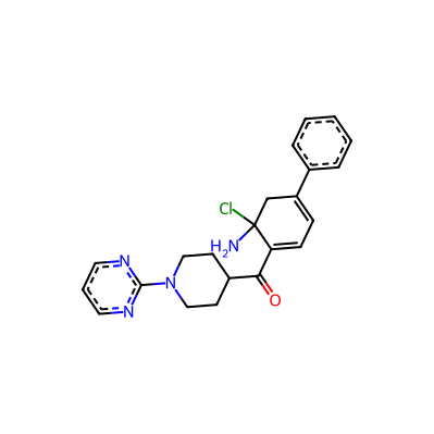 NC1(Cl)CC(c2ccccc2)=CC=C1C(=O)C1CCN(c2ncccn2)CC1